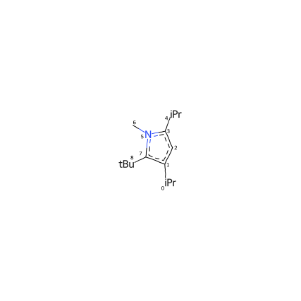 CC(C)c1cc(C(C)C)n(C)c1C(C)(C)C